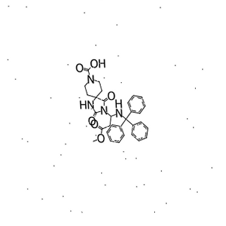 COC(=O)CC(NC(c1ccccc1)(c1ccccc1)c1ccccc1)N1C(=O)NC2(CCN(C(=O)O)CC2)C1=O